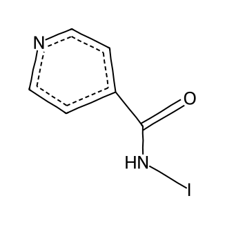 O=C(NI)c1ccncc1